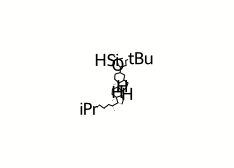 CC(C)CCC[C@@H](C)[C@H]1CC[C@H]2[C@@H]3CCC4CC(C(CCC(C)(C)C)O[SiH](C)C)CC[C@]4(C)[C@H]3CC[C@]12C